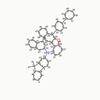 CC1(C)c2ccccc2-c2ccc(N(c3ccc4ccccc4c3)c3cccc4oc5c(-c6ccc(-c7ccccc7)cc6)c6ccccc6cc5c34)cc21